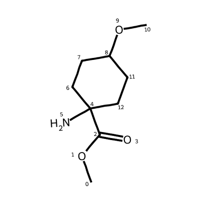 COC(=O)C1(N)CCC(OC)CC1